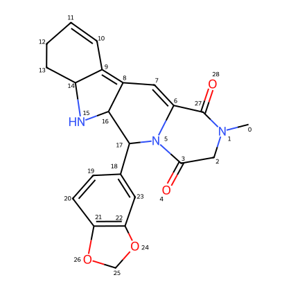 CN1CC(=O)N2C(=CC3=C4C=CCCC4NC3C2c2ccc3c(c2)OCO3)C1=O